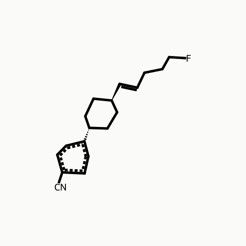 N#Cc1ccc([C@H]2CC[C@H](C=CCCCF)CC2)cc1